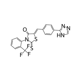 O=C1/C(=C/c2ccc(-c3nnc[nH]3)cc2)SC(=S)N1c1ccccc1C(F)(F)F